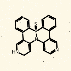 S=P12c3ccccc3C3=CNCC=C3N1c1ccncc1-c1ccccc12